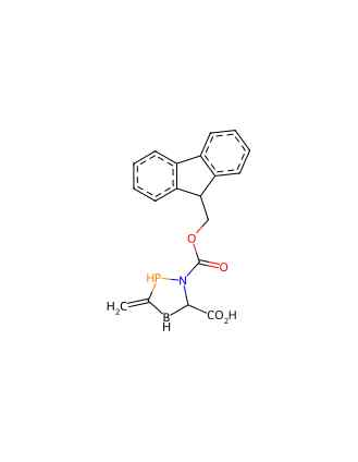 C=C1BC(C(=O)O)N(C(=O)OCC2c3ccccc3-c3ccccc32)P1